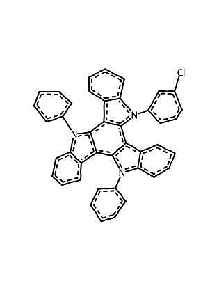 Clc1cccc(-n2c3ccccc3c3c4c(c5ccccc5n4-c4ccccc4)c4c(c5ccccc5n4-c4ccccc4)c32)c1